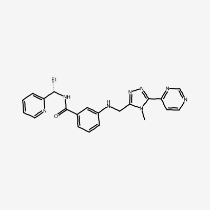 CC[C@H](NC(=O)c1cccc(NCc2nnc(-c3ccncn3)n2C)c1)c1ccccn1